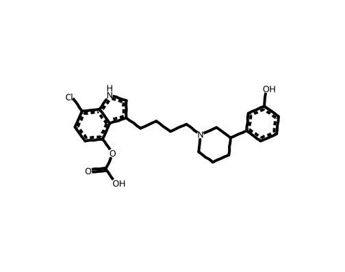 O=C(O)Oc1ccc(Cl)c2[nH]cc(CCCCN3CCCC(c4cccc(O)c4)C3)c12